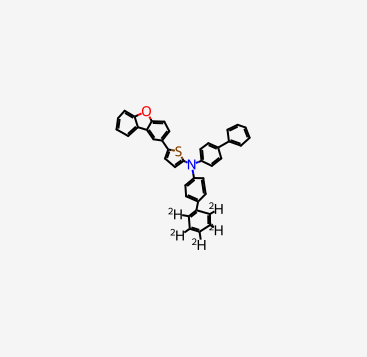 [2H]c1c([2H])c([2H])c(-c2ccc(N(c3ccc(-c4ccccc4)cc3)c3ccc(-c4ccc5oc6ccccc6c5c4)s3)cc2)c([2H])c1[2H]